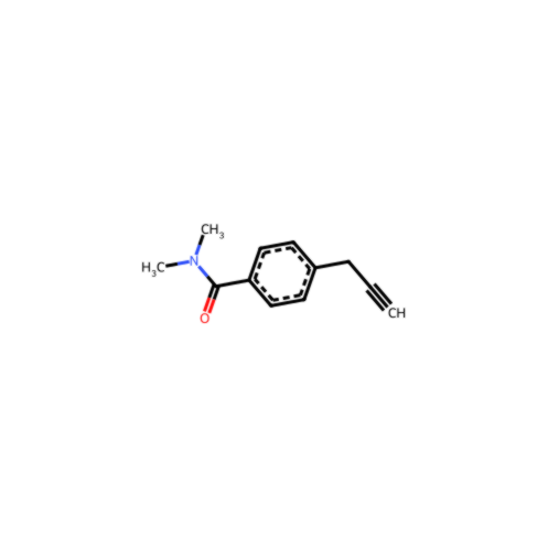 C#CCc1ccc(C(=O)N(C)C)cc1